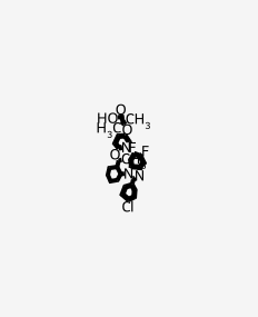 CC(Oc1ccc(OC(C)(C)C(=O)O)cn1)C1CCCCC1n1c(-c2ccc(Cl)cc2)nc2cc(F)c(F)cc21